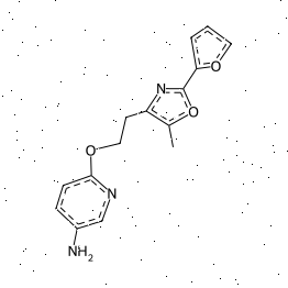 Cc1oc(-c2ccco2)nc1CCOc1ccc(N)cn1